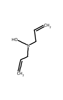 C=C[CH]N(O)CC=C